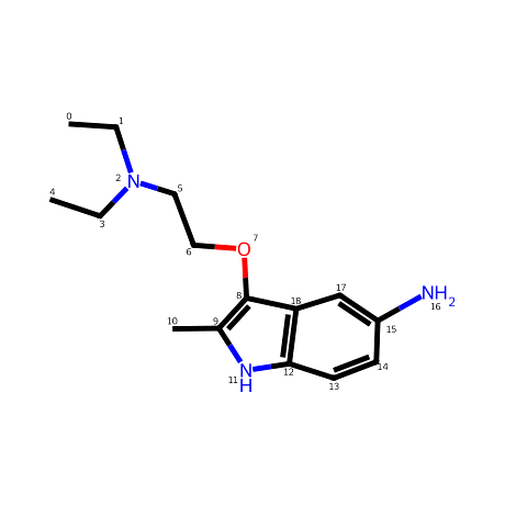 CCN(CC)CCOc1c(C)[nH]c2ccc(N)cc12